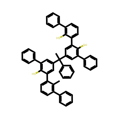 Cc1c(-c2ccccc2)cccc1-c1cc(C(C)(c2ccccc2)c2cc(-c3ccccc3)c(S)c(-c3cccc(-c4ccccc4)c3S)c2)cc(-c2ccccc2)c1S